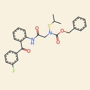 CC(C)SN(CC(=O)Nc1ccccc1C(=O)c1cccc(F)c1)C(=O)OCc1ccccc1